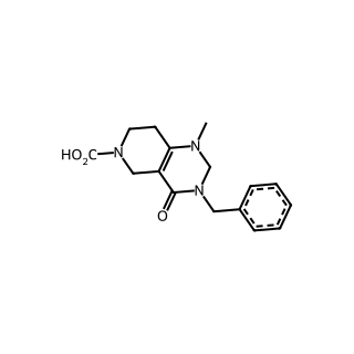 CN1CN(Cc2ccccc2)C(=O)C2=C1CCN(C(=O)O)C2